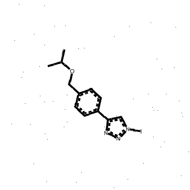 CC(C)OCc1ccc(-c2cn(I)nn2)cc1